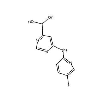 OC(O)c1cc(Nc2ccc(F)cn2)ncn1